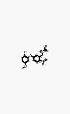 COc1ccc(F)c(Oc2ccc([N+](=O)[O-])c(CNC(=O)O)c2)c1